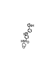 O=C(NC1CCOCC1)c1ccc2c(c1)ncn2-c1cccc(-c2ccc[nH]2)c1